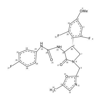 COc1cc(F)c([C@@H]2CN(Cc3ncc(C)o3)C(=O)C2NC(=O)Nc2ccc(F)cc2)c(F)c1